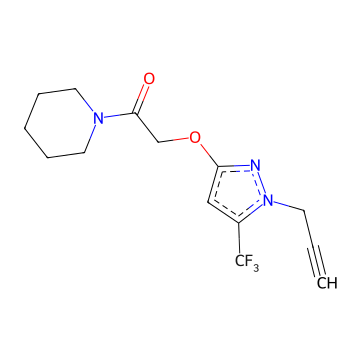 C#CCn1nc(OCC(=O)N2CCCCC2)cc1C(F)(F)F